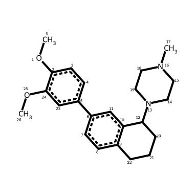 COc1ccc(-c2ccc3c(c2)C(N2CCN(C)CC2)CCC3)cc1OC